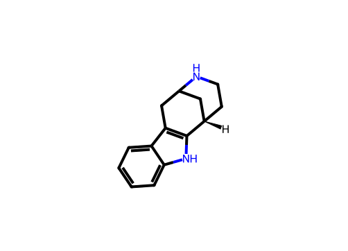 c1ccc2c3c([nH]c2c1)[C@H]1CCNC(C3)C1